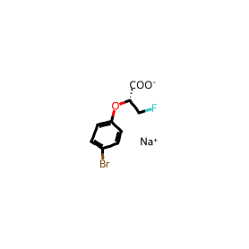 O=C([O-])[C@H](CF)Oc1ccc(Br)cc1.[Na+]